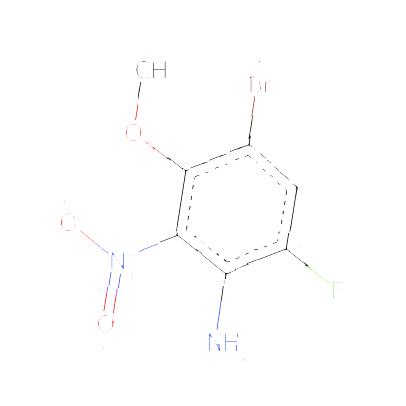 COc1c(Br)cc(F)c(N)c1[N+](=O)[O-]